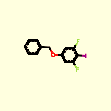 Fc1cc(OCc2ccccc2)cc(F)c1I